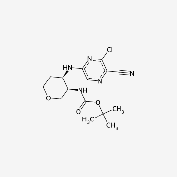 CC(C)(C)OC(=O)N[C@H]1COCC[C@H]1Nc1cnc(C#N)c(Cl)n1